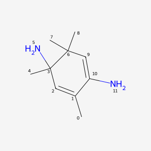 CC1=CC(C)(N)C(C)(C)C=C1N